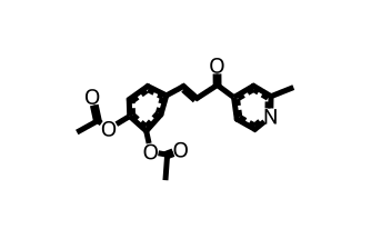 CC(=O)Oc1ccc(/C=C/C(=O)c2ccnc(C)c2)cc1OC(C)=O